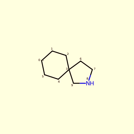 [CH]1CCC2(CC1)CCNC2